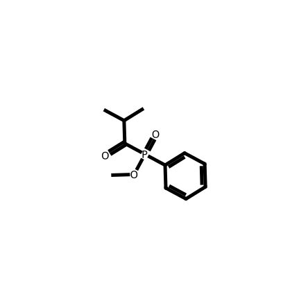 COP(=O)(C(=O)C(C)C)c1ccccc1